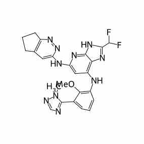 COc1c(Nc2cc(Nc3cc4c(nn3)CCC4)nc3[nH]c(C(F)F)nc23)cccc1-c1ncnn1C